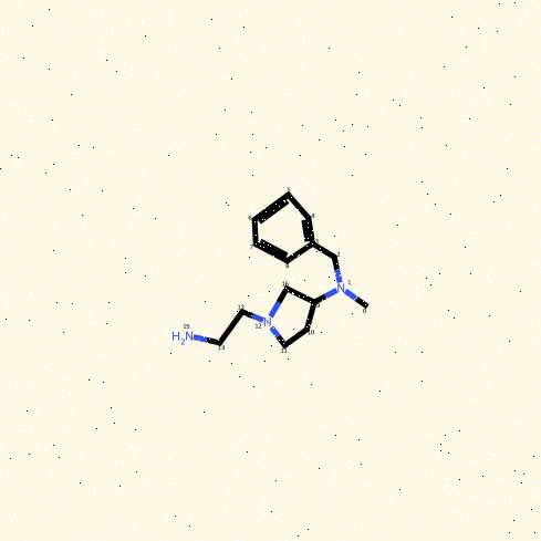 CN(Cc1ccccc1)C1CCN(CCN)C1